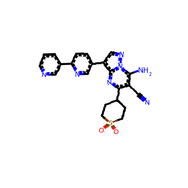 N#Cc1c(C2CCS(=O)(=O)CC2)nc2c(-c3ccc(-c4cccnc4)nc3)cnn2c1N